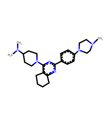 CN1CCN(c2ccc(-c3nc4c(c(N5CCC(N(C)C)CC5)n3)CCCC4)cc2)CC1